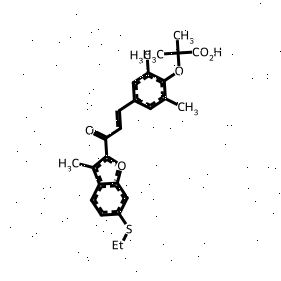 CCSc1ccc2c(C)c(C(=O)/C=C/c3cc(C)c(OC(C)(C)C(=O)O)c(C)c3)oc2c1